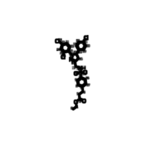 CCOC(=O)CCc1ccc(S(=O)(=O)NCC2=NN(c3ccc(Cl)cc3Cl)C(c3ccc(Cl)cc3)C2)cc1